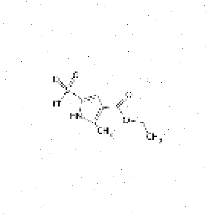 CCOC(=O)c1cc(S(=O)(=O)Cl)[nH]c1C